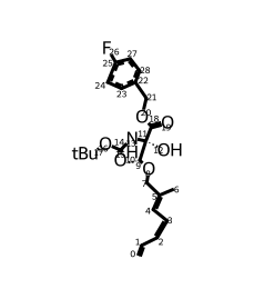 C=C/C=C\C=C(/C)CO[C@H](C)[C@@](O)(NC(=O)OC(C)(C)C)C(=O)OCc1ccc(F)cc1